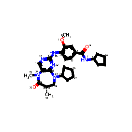 COc1cc(C(=O)NC2CCCC2)ccc1Nc1ncc2c(n1)N(C1CCCC1)C[C@H](C)C(=O)N2C